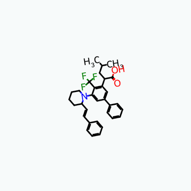 CC(C)CC(C(=O)O)c1cc(-c2ccccc2)cc(N2CCCCC2C=Cc2ccccc2)c1C(F)(F)F